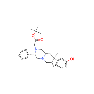 CC1CN2C[C@H](c3ccccc3)N(CC(=O)OC(C)(C)C)CC2C[C@@]1(C)c1cccc(O)c1